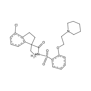 CCC1(C(=O)NS(=O)(=O)c2ccccc2OCCN2CCCCC2)CCc2c(Cl)cccc21